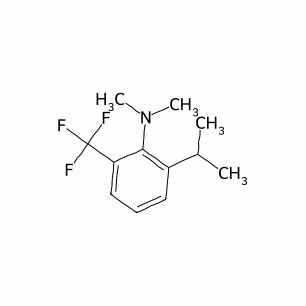 CC(C)c1cccc(C(F)(F)F)c1N(C)C